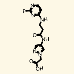 O=C(O)Cn1cc(NC(=O)CCNc2ccnc(F)n2)cn1